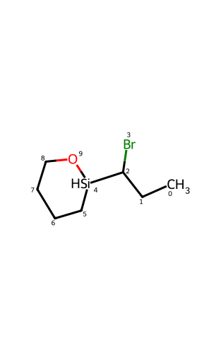 CCC(Br)[SiH]1CCCCO1